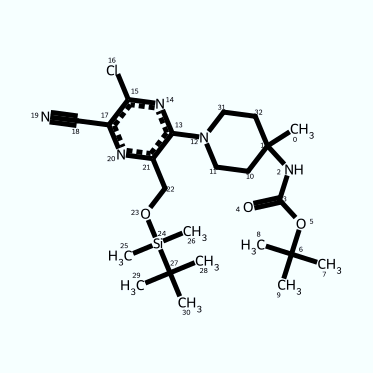 CC1(NC(=O)OC(C)(C)C)CCN(c2nc(Cl)c(C#N)nc2CO[Si](C)(C)C(C)(C)C)CC1